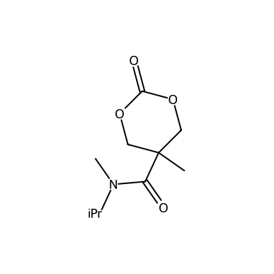 CC(C)N(C)C(=O)C1(C)COC(=O)OC1